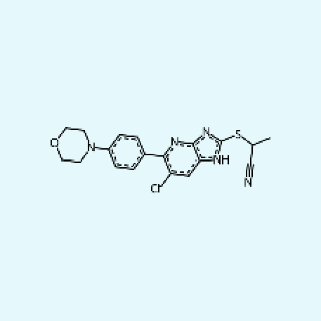 CC(C#N)Sc1nc2nc(-c3ccc(N4CCOCC4)cc3)c(Cl)cc2[nH]1